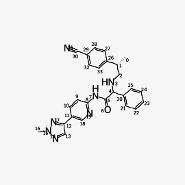 C[C@H](CNC(C(=O)Nc1ccc(-c2cnn(C)n2)cn1)c1ccccc1)c1ccc(C#N)cc1